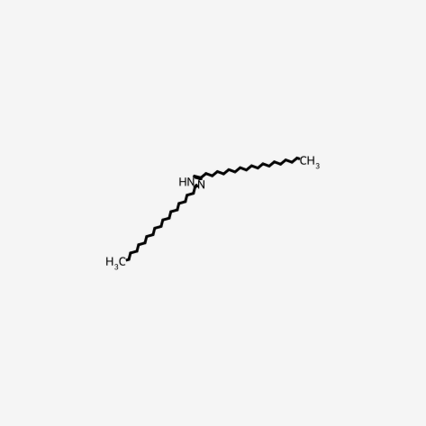 CCCCCCCCCCCCCCCCCCc1c[nH]c(CCCCCCCCCCCCCCCCCC)n1